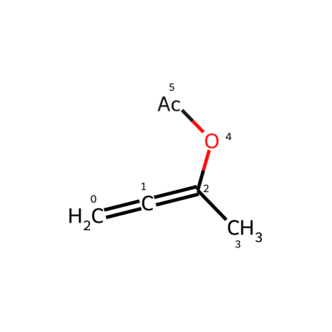 C=C=C(C)OC(C)=O